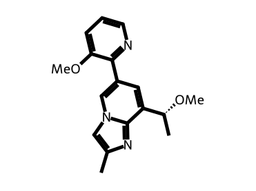 COc1cccnc1-c1cc([C@@H](C)OC)c2nc(C)cn2c1